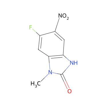 Cn1c(=O)[nH]c2cc([N+](=O)[O-])c(F)cc21